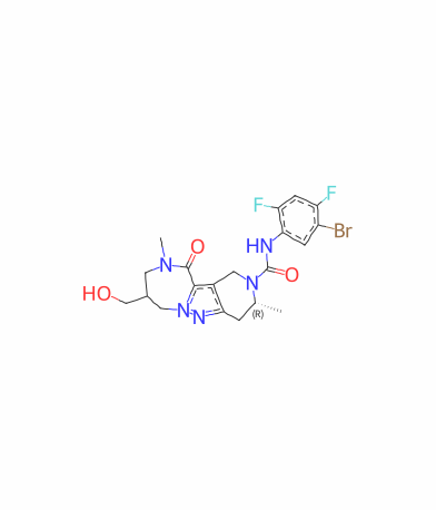 C[C@@H]1Cc2nn3c(c2CN1C(=O)Nc1cc(Br)c(F)cc1F)C(=O)N(C)CC(CO)C3